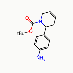 CC(C)(C)OC(=O)N1CC=CCC1c1ccc(N)cc1